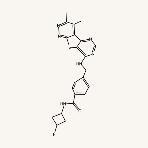 Cc1nnc2sc3c(NCc4ccc(C(=O)NC5CC(F)C5)cc4)ncnc3c2c1C